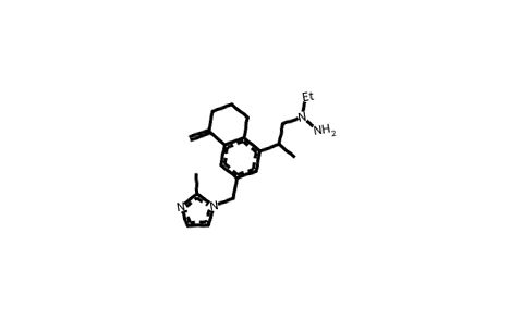 C=C1CCCc2c1cc(Cn1ccnc1C)cc2C(C)CN(N)CC